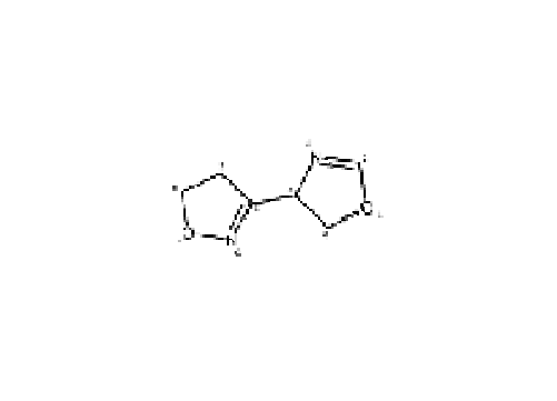 [CH]1OC=NC1C1=NOCC1